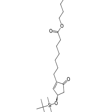 CCCCOC(=O)CCCCCCC1=C[C@H](O[Si](C)(C)C(C)(C)C)CC1=O